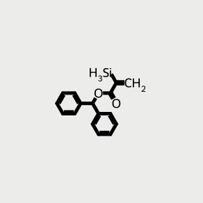 C=C([SiH3])C(=O)OC(c1ccccc1)c1ccccc1